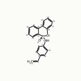 C=Cc1ccc(NP2(=O)Oc3ccccc3-c3ccccc32)cc1